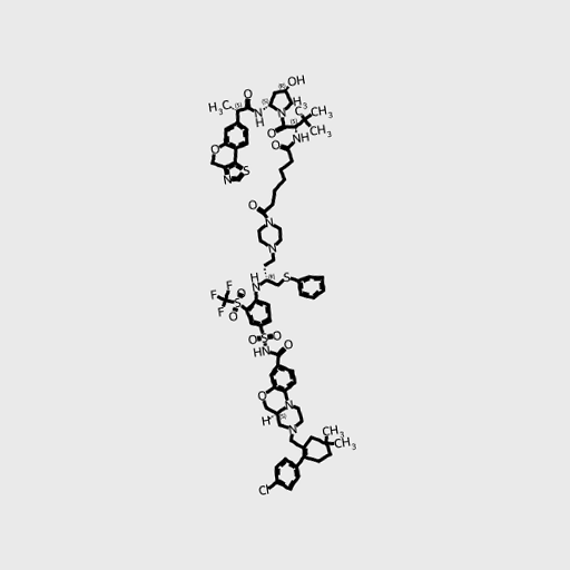 C[C@H](C(=O)N[C@@H]1C[C@@H](O)CN1C(=O)[C@@H](NC(=O)CCCCCC(=O)N1CCN(CC[C@H](CSc2ccccc2)Nc2ccc(S(=O)(=O)NC(=O)c3ccc4c(c3)OC[C@@H]3CN(CC5=C(c6ccc(Cl)cc6)CCC(C)(C)C5)CCN43)cc2S(=O)(=O)C(F)(F)F)CC1)C(C)(C)C)c1ccc2c(c1)OCc1ncsc1-2